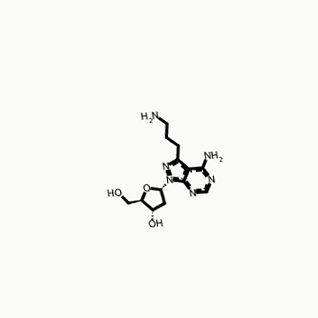 NCCCc1nn([C@@H]2C[C@H](O)[C@@H](CO)O2)c2ncnc(N)c12